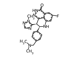 CN(C)Cc1ccc([C@@H]2Nc3cc(F)cc4c(=O)[nH]nc(c34)[C@@H]2c2ncnn2C)cc1